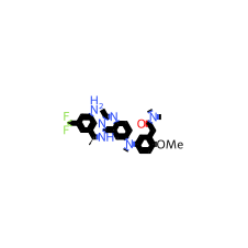 COc1ccc(N(C)c2ccc3nc(C)nc(N[C@H](C)c4cc(N)cc(C(F)F)c4)c3c2)cc1CC(=O)N(C)C